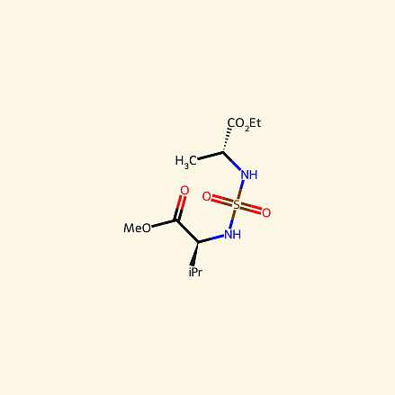 CCOC(=O)[C@@H](C)NS(=O)(=O)N[C@H](C(=O)OC)C(C)C